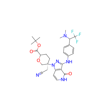 CN(C)C(c1ccc(Nc2nn([C@]3(CC#N)CCC(C(=O)OC(C)(C)C)OC3)c3cc[nH]c(=O)c23)cc1)C(F)(F)F